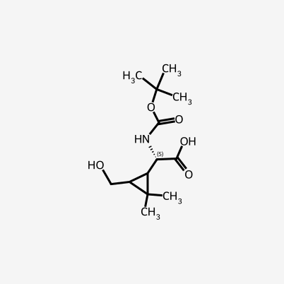 CC(C)(C)OC(=O)N[C@H](C(=O)O)C1C(CO)C1(C)C